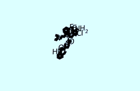 CCN(CC)CCCn1c([C@H](CC(=O)N2CCC(N3CCc4ccccc4NC3=O)CC2)Cc2cc(Cl)c(N)c(C(F)(F)F)c2)nc2ccccc21